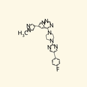 Cn1cc(-c2cc3c(N4CCN(c5ncc(-c6ccc(F)cc6)cn5)CC4)ncnn3c2)cn1